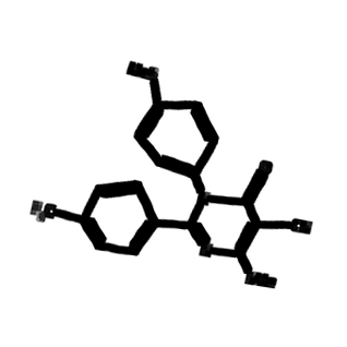 CSc1ccc(-n2c(-c3ccc(C(F)(F)F)cc3)nc(SC)c(C#N)c2=O)cc1